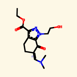 CCOC(=O)c1nn(CCO)c2c1CC/C(=C/N(C)C)C2=O